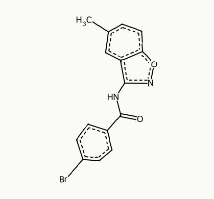 Cc1ccc2onc(NC(=O)c3ccc(Br)cc3)c2c1